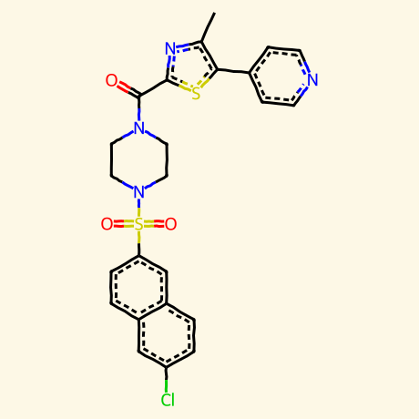 Cc1nc(C(=O)N2CCN(S(=O)(=O)c3ccc4cc(Cl)ccc4c3)CC2)sc1-c1ccncc1